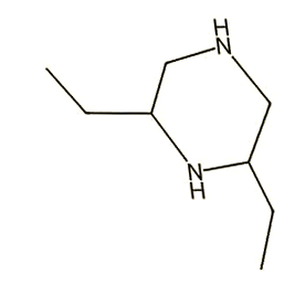 CCC1CNCC(CC)N1